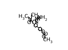 CCCN(CCC)C(=O)C1=CC2=CC=C(c3ccc(OCC(=O)OCC)cc3)CC2N=C(N=NN)C1